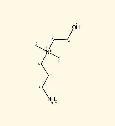 C[N+](C)(CCO)CCCN